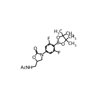 CC(=O)NCC1CN(c2cc(F)c(B3OC(C)(C)C(C)(C)O3)c(F)c2)C(=O)O1